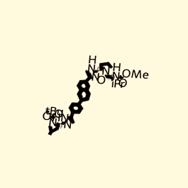 COC(=O)N[C@H](C(=O)N1CCC[C@H]1c1nc(-c2ccc3cc(-c4ccc(-c5cnc([C@@H]6CC(C)CN6C(=O)OC(C)(C)C)[nH]5)cc4)ccc3c2)c[nH]1)C(C)C